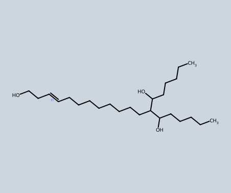 CCCCCC(O)C(CCCCCCCC/C=C/CCO)C(O)CCCCC